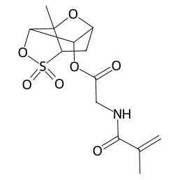 C=C(C)C(=O)NCC(=O)OC1C2CC3C(C)(O2)C1OS3(=O)=O